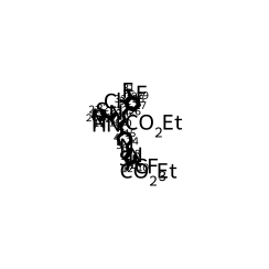 CCOC(=O)C1=C(C2CCN(c3nc(C(F)(F)F)c(C(=O)OCC)s3)CC2)NC(c2nccs2)=NC1c1ccc(F)c(F)c1Cl